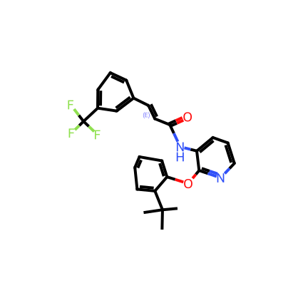 CC(C)(C)c1ccccc1Oc1ncccc1NC(=O)/C=C/c1cccc(C(F)(F)F)c1